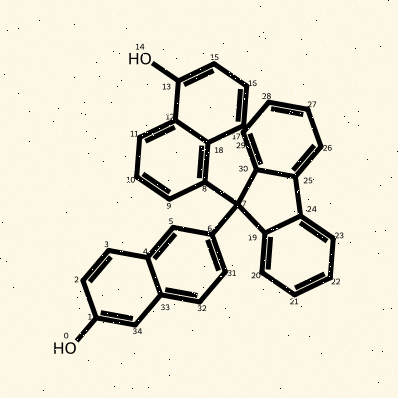 Oc1ccc2cc(C3(c4cccc5c(O)cccc45)c4ccccc4-c4ccccc43)ccc2c1